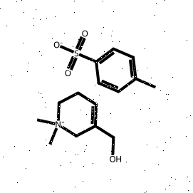 C[N+]1(C)CCC=C(CO)C1.Cc1ccc(S(=O)(=O)[O-])cc1